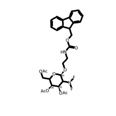 CC(=O)OCC1O[C@@H](OCCNC(=O)OCC2c3ccccc3-c3ccccc32)C(N(F)F)[C@@H](OC(C)=O)[C@H]1OC(C)=O